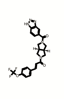 O=C(C=Cc1ccc(OC(F)(F)F)cc1)N1C[C@@H]2CN(C(=O)c3ccc4[nH]nnc4c3)C[C@@H]2C1